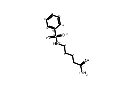 NC(=O)CCCCNS(=O)(=O)c1ccccc1